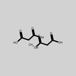 C.O=C(O)CC(=O)O.O=C(O)CC(=O)O